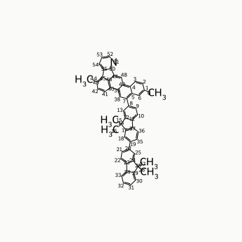 Cc1ccc2c(c1)c(-c1ccc3c(c1)C(C)(C)c1cc(-c4ccc5c(c4)C(C)(C)c4ccccc4-5)ccc1-3)cc1c3ccc(C)c4c3c(cc21)-c1ncccc1-4